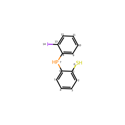 Sc1ccccc1Pc1ccccc1I